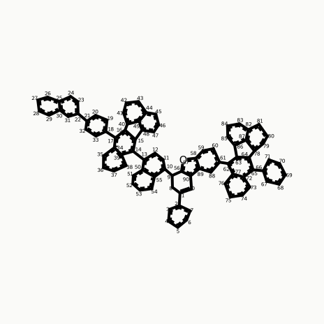 C1=C(c2ccccc2)CC(c2ccc(-c3c4c(c(-c5ccc(-c6ccc7ccccc7c6)cc5)c5ccccc35)-c3cccc5cccc-4c35)c3ccccc23)c2oc3ccc(-c4c5c(c(-c6ccccc6)c6ccccc46)-c4cccc6cccc-5c46)cc3c21